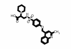 Cc1cc(COc2ccc(S(=O)(=O)NCC(C(=O)O)N3CCCCC3)cc2)c2ccccc2n1